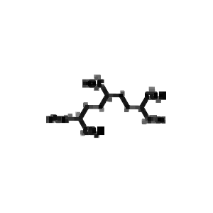 CCCCCCC(CCC(CCC(CCCCC)C(=O)O)C(=O)O)C(=O)O